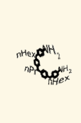 CCCCCCC(c1ccc(N)cc1)c1ccc(C(CCC)c2ccc(C(CCCCCC)c3ccc(N)cc3)cc2)cc1